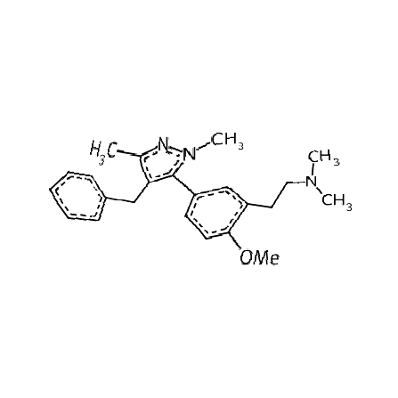 COc1ccc(-c2c(Cc3ccccc3)c(C)nn2C)cc1CCN(C)C